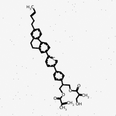 C=C(C)C(=O)OCC(COC(=O)C(=C)CO)c1ccc(-c2ccc(-c3ccc4c(c3)CCc3cc(CC/C=C/C)ccc3-4)cc2)cc1